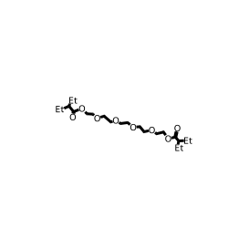 CCC(CC)C(=O)OCCOCCOCCOCCOCCOC(=O)C(CC)CC